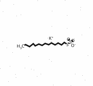 CCCCCCCCCCCCCCSS(=O)(=O)[O-].[K+]